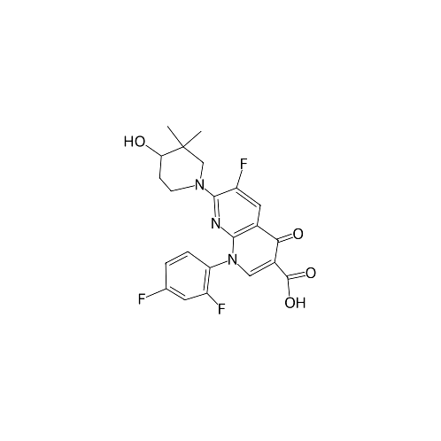 CC1(C)CN(c2nc3c(cc2F)c(=O)c(C(=O)O)cn3-c2ccc(F)cc2F)CCC1O